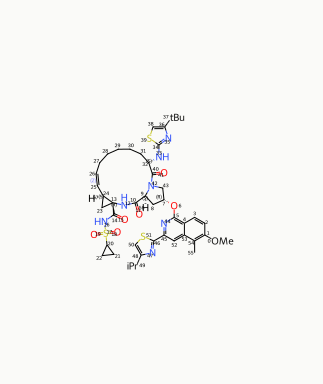 COc1ccc2c(O[C@@H]3C[C@H]4C(=O)N[C@]5(C(=O)NS(=O)(=O)C6CC6)C[C@H]5/C=C\CCCCC[C@H](Nc5nc(C(C)(C)C)cs5)C(=O)N4C3)nc(-c3nc(C(C)C)cs3)cc2c1C